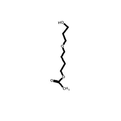 CC(=O)OCCCCOCCCO